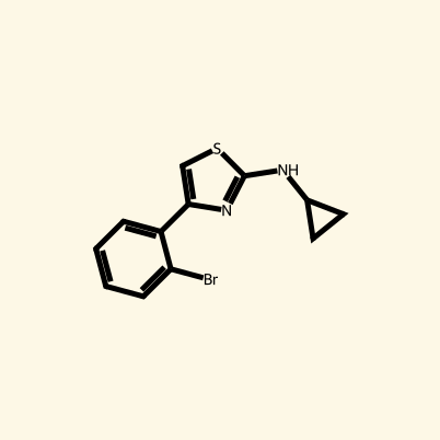 Brc1ccccc1-c1csc(NC2CC2)n1